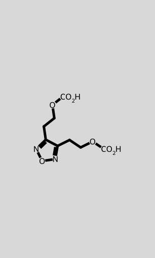 O=C(O)OCCc1nonc1CCOC(=O)O